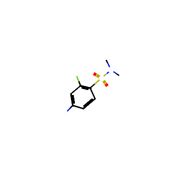 CN(C)S(=O)(=O)c1ccc(N)cc1F